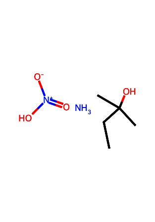 CCC(C)(C)O.N.O=[N+]([O-])O